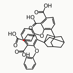 O=C(O)c1ccc(C23CC4CC(C2)CC(c2ccc(C(=O)O)c(C(=O)O)c2Oc2ccccc2)(C4)C3)c(Oc2ccccc2)c1C(=O)O